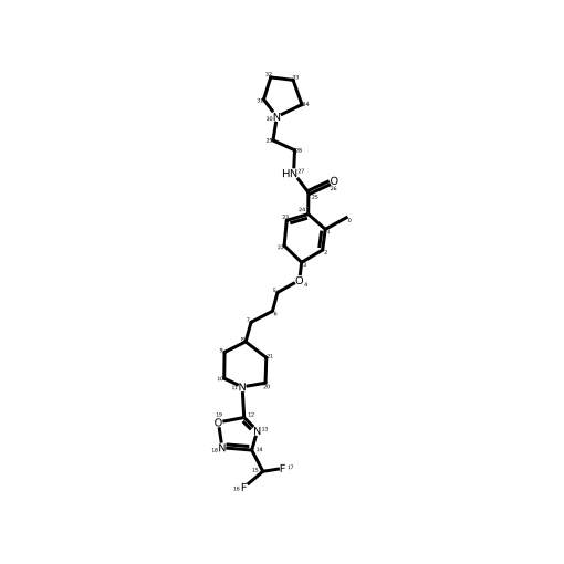 CC1=CC(OCCCC2CCN(c3nc(C(F)F)no3)CC2)CC=C1C(=O)NCCN1CCCC1